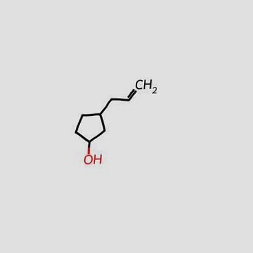 C=CCC1CCC(O)C1